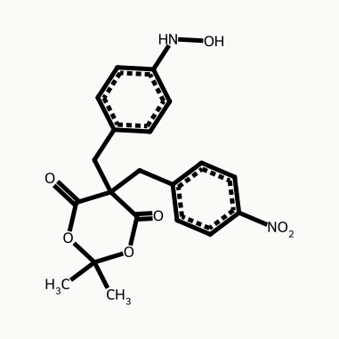 CC1(C)OC(=O)C(Cc2ccc(NO)cc2)(Cc2ccc([N+](=O)[O-])cc2)C(=O)O1